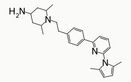 Cc1ccc(C)n1-c1cccc(-c2ccc(CCN3C(C)CC(N)CC3C)cc2)n1